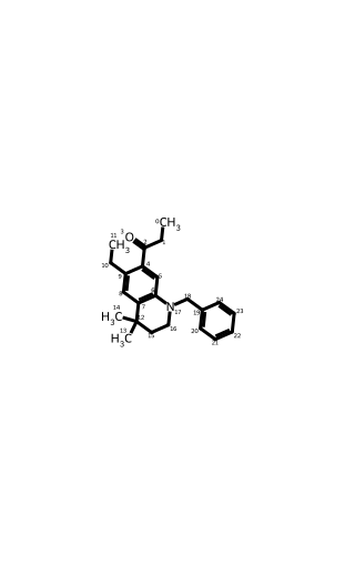 CCC(=O)c1cc2c(cc1CC)C(C)(C)CCN2Cc1ccccc1